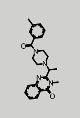 Cc1cccc(C(=O)N2CCN(C(C)c3nc4ccccc4c(=O)n3C)CC2)c1